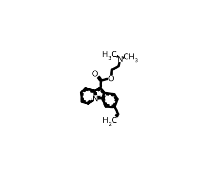 C=Cc1ccc2c(C(=O)OCCN(C)C)c3ccccn3c2c1